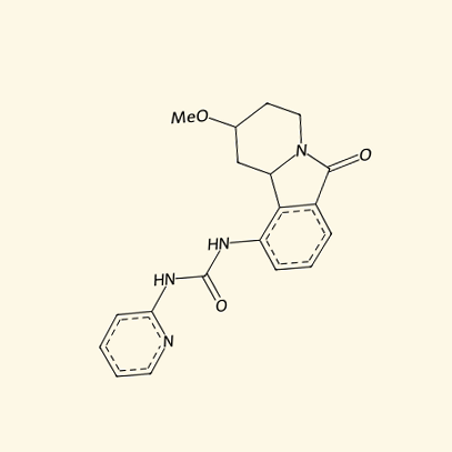 COC1CCN2C(=O)c3cccc(NC(=O)Nc4ccccn4)c3C2C1